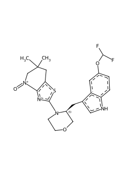 CC1(C)Cc2sc(N3CCOC[C@@H]3Cc3c[nH]c4ccc(OC(F)F)cc34)nc2[N+](=O)C1